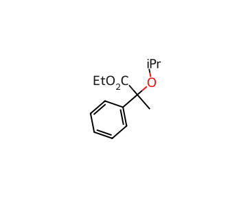 CCOC(=O)C(C)(OC(C)C)c1ccccc1